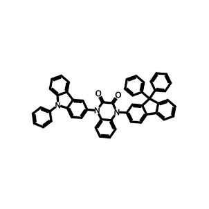 O=c1c(=O)n(-c2ccc3c(c2)c2ccccc2n3-c2ccccc2)c2ccccc2n1-c1ccc2c(c1)C(c1ccccc1)(c1ccccc1)c1ccccc1-2